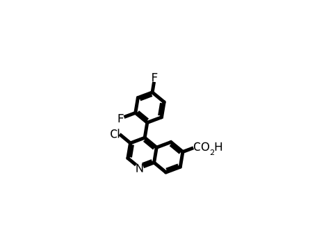 O=C(O)c1ccc2ncc(Cl)c(-c3ccc(F)cc3F)c2c1